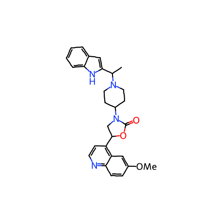 COc1ccc2nccc(C3CN(C4CCN(C(C)c5cc6ccccc6[nH]5)CC4)C(=O)O3)c2c1